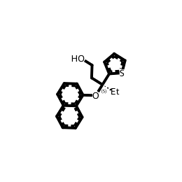 CC[C@@](CCO)(Oc1cccc2ccccc12)c1cccs1